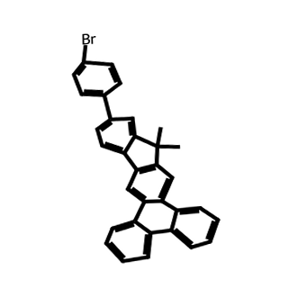 CC1(C)c2cc(-c3ccc(Br)cc3)ccc2-c2cc3c4ccccc4c4ccccc4c3cc21